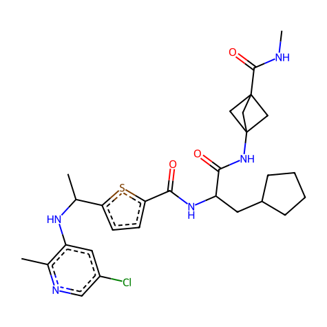 CNC(=O)C12CC(NC(=O)C(CC3CCCC3)NC(=O)c3ccc(C(C)Nc4cc(Cl)cnc4C)s3)(C1)C2